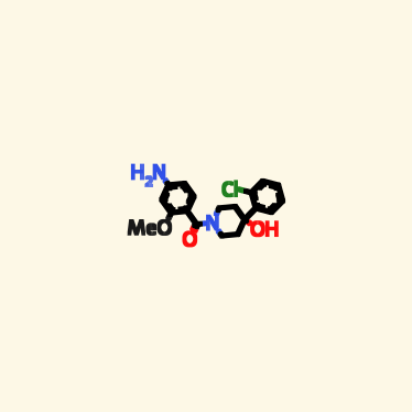 COc1cc(N)ccc1C(=O)N1CCC(O)(c2ccccc2Cl)CC1